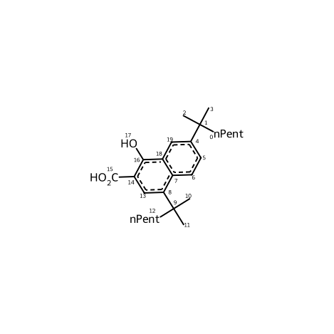 CCCCCC(C)(C)c1ccc2c(C(C)(C)CCCCC)cc(C(=O)O)c(O)c2c1